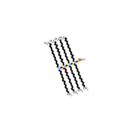 CCCCCCCCCCCCCCCN(CCCCCCCCCCCCCCC)C(=S)[S-].CCCCCCCCCCCCCCCN(CCCCCCCCCCCCCCC)C(=S)[S-].CCCCCCCCCCCCCCCN(CCCCCCCCCCCCCCC)C(=S)[S-].CCCCCCCCCCCCCCCN(CCCCCCCCCCCCCCC)C(=S)[S-].O=S.[Mo+4]